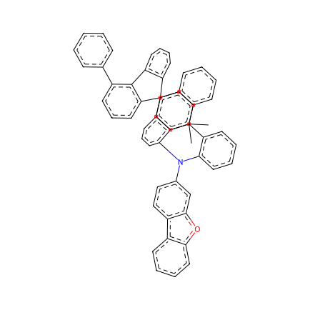 CC1(C)c2ccccc2C2(c3ccccc3-c3c(-c4ccccc4)cccc32)c2cccc(N(c3ccc4c(c3)oc3ccccc34)c3ccccc3-c3ccccc3)c21